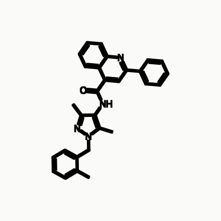 Cc1ccccc1Cn1nc(C)c(NC(=O)c2cc(-c3ccccc3)nc3ccccc23)c1C